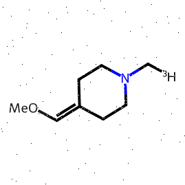 [3H]CN1CCC(=COC)CC1